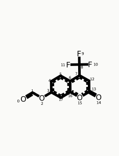 O=[C]Oc1ccc2c(C(F)(F)F)cc(=O)oc2c1